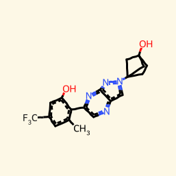 Cc1cc(C(F)(F)F)cc(O)c1-c1cnc2cn(C34CCC(O)(C3)C4)nc2n1